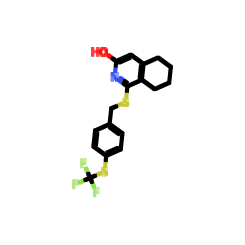 Oc1cc2c(c(SCc3ccc(SC(F)(F)F)cc3)n1)CCCC2